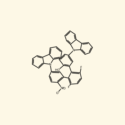 O=[N+]([O-])c1ccc(-n2c3ccccc3c3ccccc32)cc1-c1c(F)ccc(F)c1-c1cc(-n2c3ccccc3c3ccccc32)ccc1O